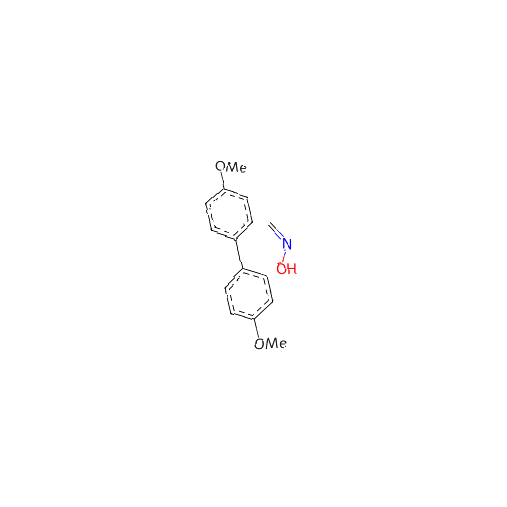 C=NO.COc1ccc(-c2ccc(OC)cc2)cc1